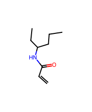 C=CC(=O)NC(CC)CCC